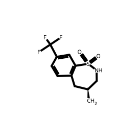 C[C@@H]1CNS(=O)(=O)c2cc(C(F)(F)F)ccc2C1